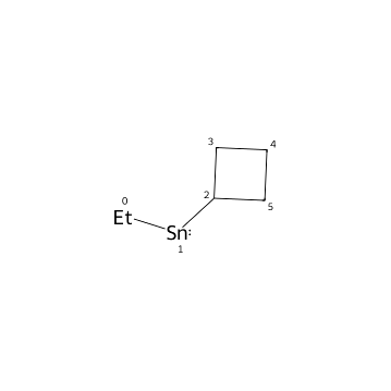 C[CH2][Sn][CH]1CCC1